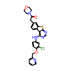 O=C(Cc1ccc2c(c1)sc1ncnc(Nc3ccc(OCc4ccccn4)c(Cl)c3)c12)N1CCOCC1